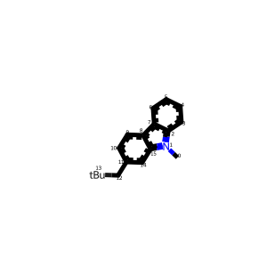 Cn1c2ccccc2c2ccc(CC(C)(C)C)cc21